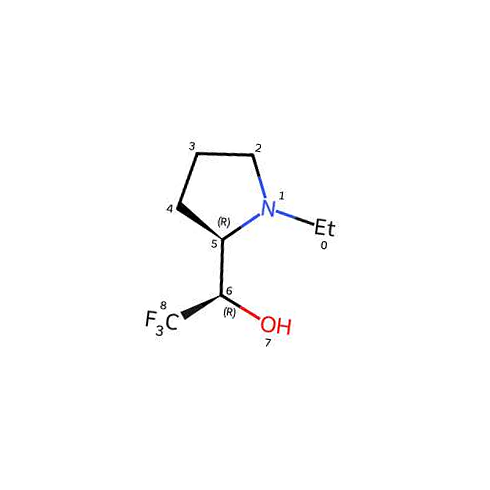 CCN1CCC[C@@H]1[C@@H](O)C(F)(F)F